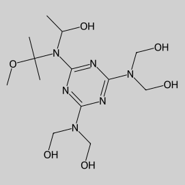 COC(C)(C)N(c1nc(N(CO)CO)nc(N(CO)CO)n1)C(C)O